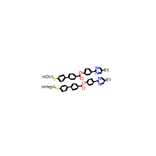 CCCCCCCCSc1ccc(-c2ccc(C(=O)Oc3ccc(-c4ncc(CC)cn4)cc3)cc2)cc1.CCCCCCCSc1ccc(-c2ccc(C(=O)Oc3ccc(-c4ncc(CC)cn4)cc3)cc2)cc1